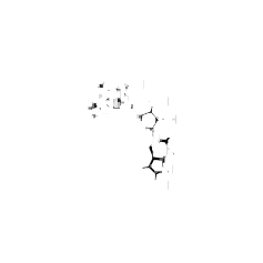 Cc1[nH]c2nc(=S)n([C@@H]3O[C@H](COP(=O)(O)OP(=O)(O)OP(=O)(O)O)C(O)[C@@H]3O)cc2c1F